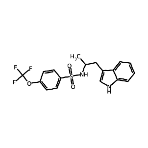 CC(Cc1c[nH]c2ccccc12)NS(=O)(=O)c1ccc(OC(F)(F)F)cc1